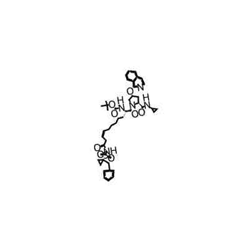 CC(C)(C)OC(=O)N[C@@H](CCCCC/C=C\CC(=O)NS(=O)(=O)C1(Cc2ccccc2)CC1)C(=O)N1C[C@H](Oc2nccc3ccccc23)C[C@H]1C(=O)NC1CC1